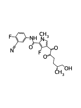 C[C@H](CO)CCC(=O)C(=O)c1cn(C)c(C(=O)Nc2ccc(F)c(C#N)c2)c1F